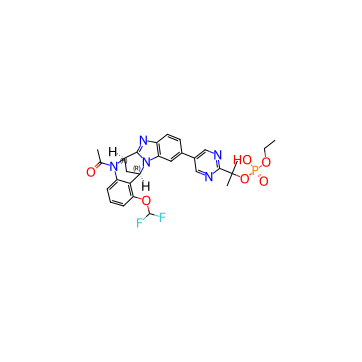 CCOP(=O)(O)OC(C)(C)c1ncc(-c2ccc3nc4n(c3c2)[C@@H]2C[C@H]4N(C(C)=O)c3cccc(OC(F)F)c32)cn1